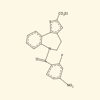 CCOC(=O)c1cc2c(s1)-c1ccccc1N(C(=O)c1ccc([N+](=O)[O-])cc1F)CC2